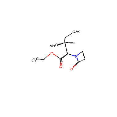 CO[C@](C)(COC(C)=O)C(C(=O)OCC(Cl)(Cl)Cl)N1CCC1=O